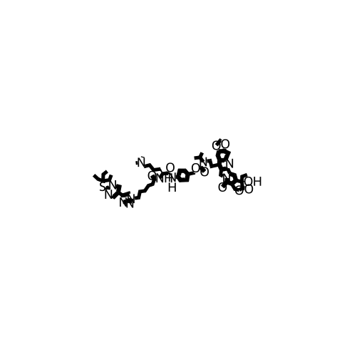 CCC(CC)(CC)Sc1ncc(-c2cn(CCCCCC(=O)N[C@@H](CCCCN(C)C)C(=O)Nc3ccc(COC(=O)N(CCc4c5c(nc6cc7c(cc46)OCO7)-c4cc6c(c(=O)n4C5)COC(=O)[C@]6(O)CC)C(C)C)cc3)nn2)cn1